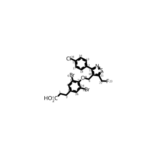 O=C(O)CCc1cc(Br)c(OCc2c(-c3ccc(Cl)cc3)nsc2CF)c(Br)c1